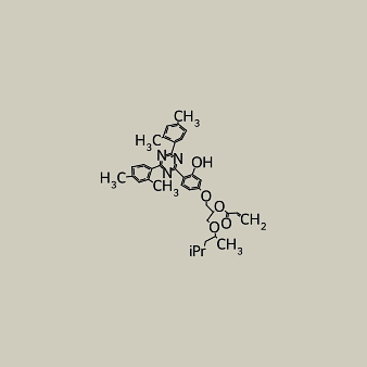 C=CC(=O)OC(COc1ccc(-c2nc(-c3ccc(C)cc3C)nc(-c3ccc(C)cc3C)n2)c(O)c1)COC(C)CC(C)C